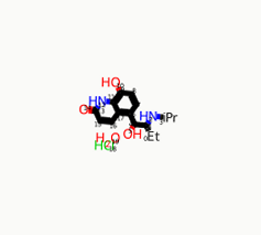 CCC(NC(C)C)C(O)c1ccc(O)c2[nH]c(=O)ccc12.Cl.O